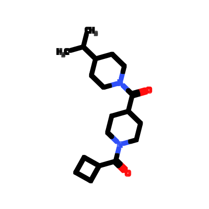 CC(C)C1CCN(C(=O)C2CCN(C(=O)C3CCC3)CC2)CC1